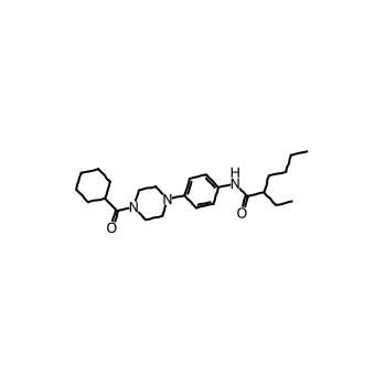 CCCCC(CC)C(=O)Nc1ccc(N2CCN(C(=O)C3CCCCC3)CC2)cc1